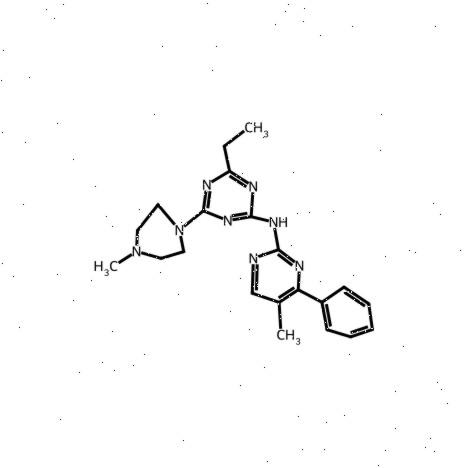 CCc1nc(Nc2ncc(C)c(-c3ccccc3)n2)nc(N2CCN(C)CC2)n1